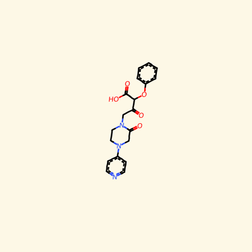 O=C(O)C(Oc1ccccc1)C(=O)CN1CCN(c2ccncc2)CC1=O